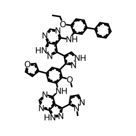 CCOc1ccc(-c2ccccc2)cc1Nc1ncnc2[nH]nc(-c3c[nH]nc3-c3cc(-c4ccoc4)cc(Nc4ncnc5[nH]nc(-c6ccnn6C)c45)c3OC)c12